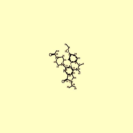 CCOc1ccc(C(C)N(C)c2nc(N3CCN(C(C)=O)CC3)nc3c2CN(C(C)C)C3=O)cc1